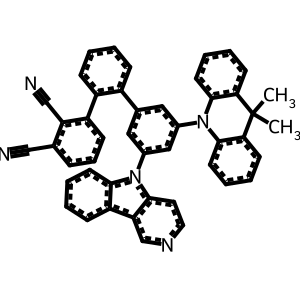 CC1(C)c2ccccc2N(c2cc(-c3ccccc3-c3cccc(C#N)c3C#N)cc(-n3c4ccccc4c4cnccc43)c2)c2ccccc21